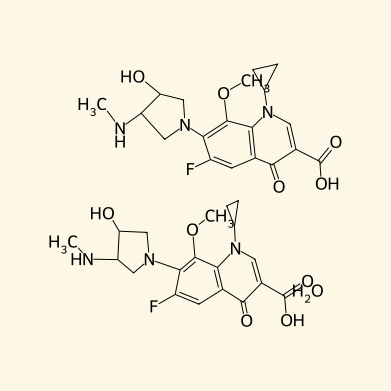 CNC1CN(c2c(F)cc3c(=O)c(C(=O)O)cn(C4CC4)c3c2OC)CC1O.CNC1CN(c2c(F)cc3c(=O)c(C(=O)O)cn(C4CC4)c3c2OC)CC1O.O